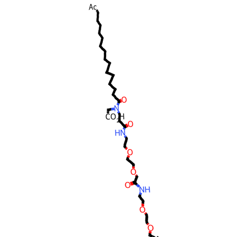 CC(=O)CCCCCCCCCCCCCCC(=O)N(CCC(=O)NCCOCCOCC(=O)NCCOCCOCC(C)=O)CC(=O)O